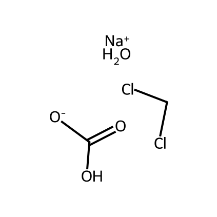 ClCCl.O.O=C([O-])O.[Na+]